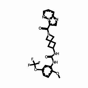 COc1ccc(OC(F)(F)F)cc1NC(=O)NC1CC2(C1)CN(C(=O)c1cnc3cccnn13)C2